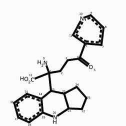 NC(CCC(=O)c1cccnc1)(C(=O)O)C1c2ccccc2NC2CCCC21